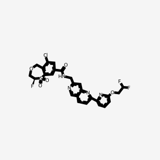 O=C(NCc1cc2nc(-c3cccc(OCC(F)F)n3)ccc2cn1)c1cc(Cl)c2c(c1)S(=O)(=O)[C@@H](F)COC2